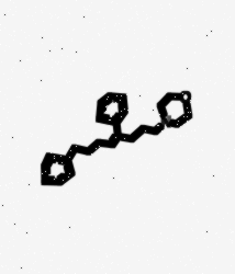 C(CCCc1ccccc1)=C(CCCN1CCOCC1)c1ccccc1